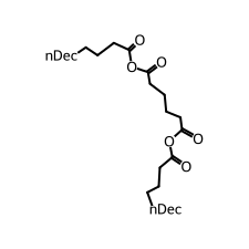 CCCCCCCCCCCCCC(=O)OC(=O)CCCCC(=O)OC(=O)CCCCCCCCCCCCC